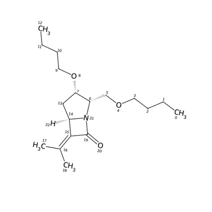 CCCCOC[C@H]1[C@@H](OCCCC)C[C@@H]2C(=C(C)C)C(=O)N21